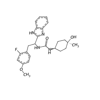 COc1ccc(CC(NC(=O)N[C@H]2CC[C@@](C)(O)CC2)c2nc3ccccc3[nH]2)c(F)c1